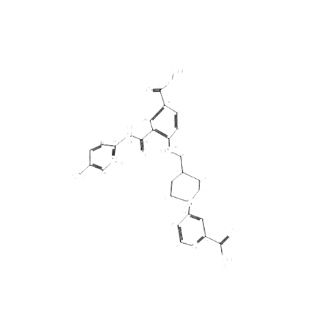 COC(=O)c1ccc(NCC2CCN(c3ccnc(C(=O)O)c3)CC2)c(C(=O)Nc2ccc(Cl)cn2)c1